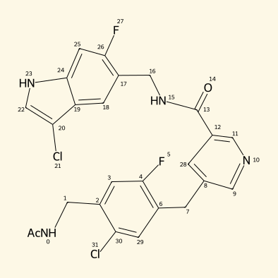 CC(=O)NCc1cc(F)c(Cc2cncc(C(=O)NCc3cc4c(Cl)c[nH]c4cc3F)c2)cc1Cl